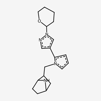 c1cc(-c2cnn(C3CCCCO3)c2)n(CC2CC3CCC2N3)c1